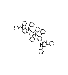 c1ccc(-c2cc(-c3ccccc3)nc(-c3cc(-c4ccccc4)c(-n4c5ccccc5c5c4ccc4c6ccc7c(c8ccccc8n7-c7ccccc7)c6n(-c6ccccc6)c45)c(-c4ccccc4)c3)n2)cc1